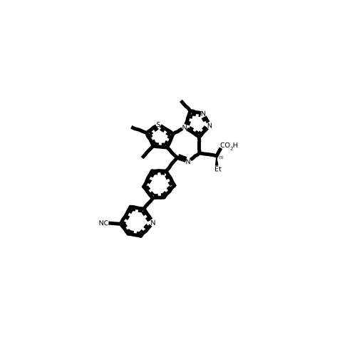 CC[C@H](C(=O)O)C1N=C(c2ccc(-c3cc(C#N)ccn3)cc2)c2c(sc(C)c2C)-n2c(C)nnc21